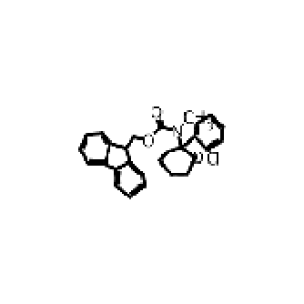 CN(C(=O)OCC1c2ccccc2-c2ccccc21)C1(c2ccccc2Cl)CCCCC1=O